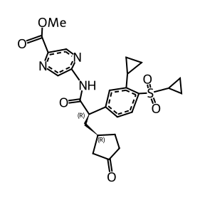 COC(=O)c1cnc(NC(=O)[C@H](C[C@H]2CCC(=O)C2)c2ccc(S(=O)(=O)C3CC3)c(C3CC3)c2)cn1